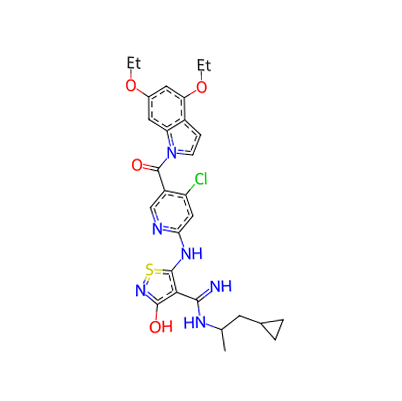 CCOc1cc(OCC)c2ccn(C(=O)c3cnc(Nc4snc(O)c4C(=N)NC(C)CC4CC4)cc3Cl)c2c1